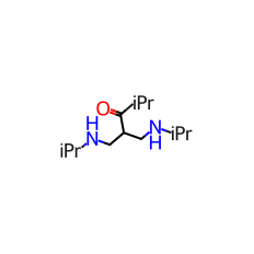 CC(C)NCC(CNC(C)C)C(=O)C(C)C